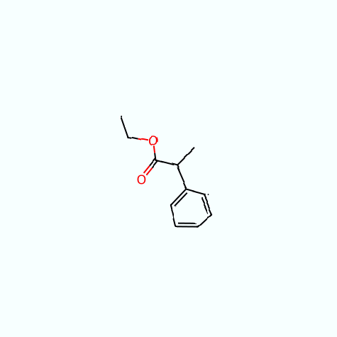 CCOC(=O)C(C)c1[c]cccc1